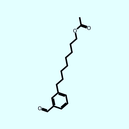 CC(=O)OCCCCCCCCc1cccc(C=O)c1